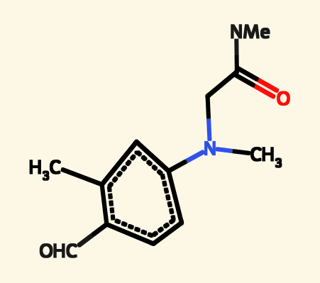 CNC(=O)CN(C)c1ccc(C=O)c(C)c1